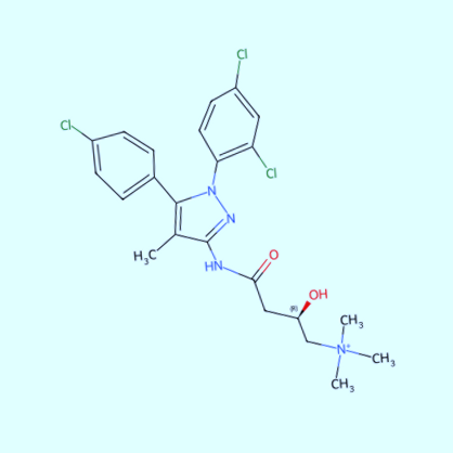 Cc1c(NC(=O)C[C@@H](O)C[N+](C)(C)C)nn(-c2ccc(Cl)cc2Cl)c1-c1ccc(Cl)cc1